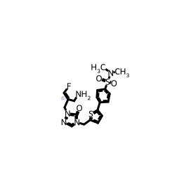 CN(C)S(=O)(=O)c1ccc(-c2ccc(Cn3cnn(C/C(=C/F)CN)c3=O)s2)cc1